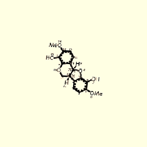 COc1ccc2c(c1O)O[C@H]1c3ccc(OC)c(O)c3OC[C@@H]21